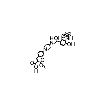 CCOC(=O)/C(=C\c1ccc(N2CCC(NC[C@H](O)c3ccc(O)c(NS(C)(=O)=O)c3)CC2)cc1)C(=O)O